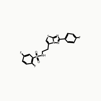 O=S(=O)(NCCc1csc2nc(-c3ccc(F)cc3)nn12)c1cc(F)ccc1F